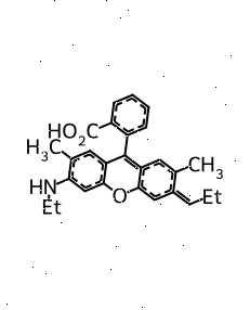 CC/C=c1/cc2c(cc1C)=C(c1ccccc1C(=O)O)c1cc(C)c(NCC)cc1O2